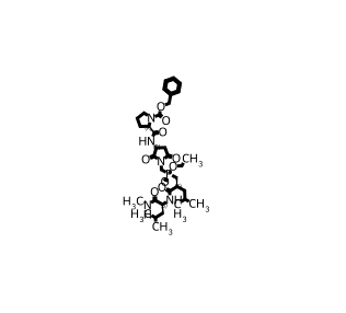 CCOP(=O)(C[C@@H](CC(C)C)C(=O)N[C@@H](CC(C)C)C(=O)NC)CN1C(=O)C[C@@H](NC(=O)[C@H]2CCCN2C(=O)OCc2ccccc2)C1=O